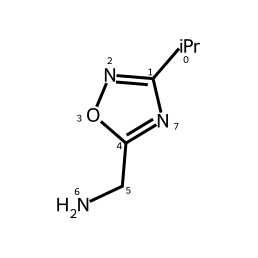 CC(C)c1noc(CN)n1